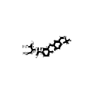 CC(C)(C)/N=C\c1ccc2nc3ccc(C(=O)NC(CS)C(=O)O)cc3cc2c1